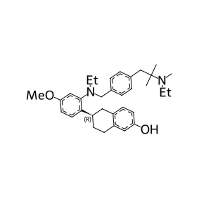 CCN(Cc1ccc(CC(C)(C)N(C)CC)cc1)c1cc(OC)ccc1[C@@H]1CCc2cc(O)ccc2C1